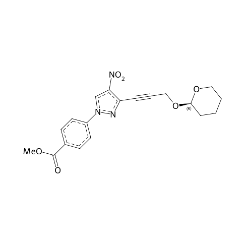 COC(=O)c1ccc(-n2cc([N+](=O)[O-])c(C#CCO[C@@H]3CCCCO3)n2)cc1